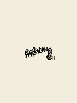 CN(CCN1CCC(N(C(=O)O)c2ccccc2-c2ccccc2)CC1)C(=O)CCCCCNc1ncc(C(=O)N(C)CCCN(C)C(=O)CO[C@H]2Cc3ccccc3C23CCN(CC[C@@]2(c4ccc(F)cc4)CN(C(=O)c4cc(C(F)(F)F)cc(C(F)(F)F)c4)CO2)CC3)cn1